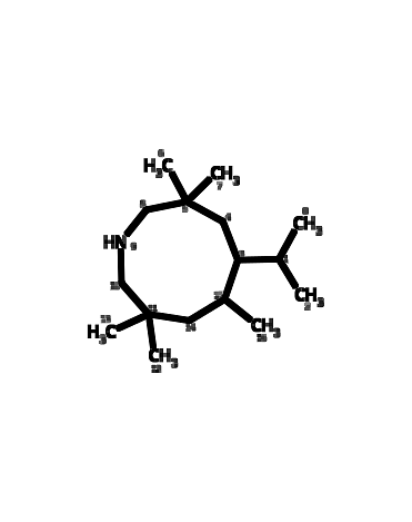 CC(C)C1CC(C)(C)CNCC(C)(C)CC1C